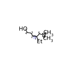 CC/C(=C/CCO)CN(C)C